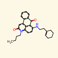 CCCCn1c(=O)cc2c3c(c(NCCC4=CCCCC4)ccc31)C(=O)c1ccccc1-2